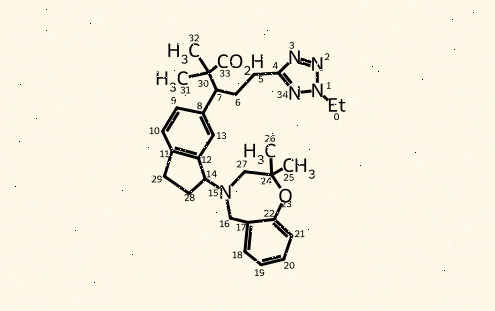 CCn1nnc(CCC(c2ccc3c(c2)C(N2Cc4ccccc4OC(C)(C)C2)CC3)C(C)(C)C(=O)O)n1